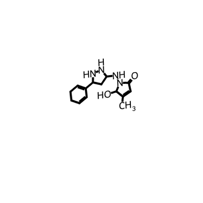 CC1=CC(=O)N(NC2CC(C3=CCCC=C3)NN2)C1O